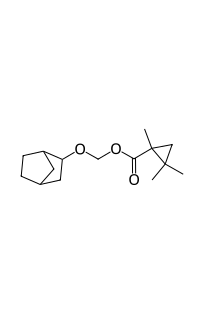 CC1(C)CC1(C)C(=O)OCOC1CC2CCC1C2